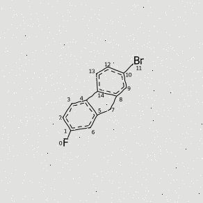 Fc1ccc2c(c1)Cc1cc(Br)ccc1-2